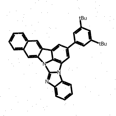 CC(C)(C)c1cc(-c2cc3c4cc5ccccc5cc4n4c3c(c2)n2c3ccccc3nc24)cc(C(C)(C)C)c1